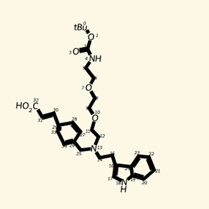 CC(C)(C)OC(=O)NCCOCCOCCN(CCc1c[nH]c2ccccc12)Cc1ccc(/C=C/C(=O)O)cc1